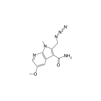 COc1cnc2c(c1)c(C(N)=O)c(CN=[N+]=[N-])n2C